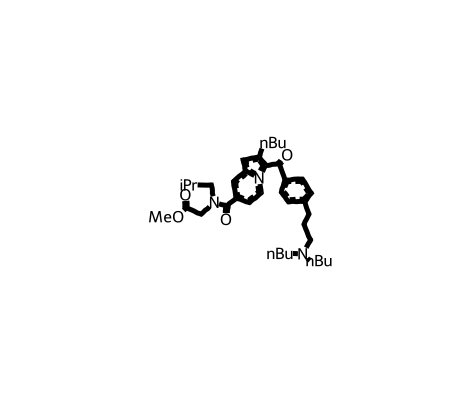 CCCCc1cc2cc(C(=O)N(CC(=O)OC)CC(C)C)ccn2c1C(=O)c1ccc(CCCN(CCCC)CCCC)cc1